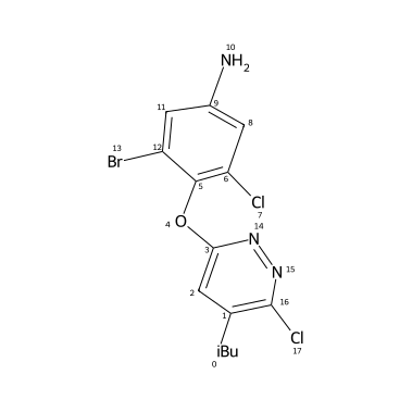 CCC(C)c1cc(Oc2c(Cl)cc(N)cc2Br)nnc1Cl